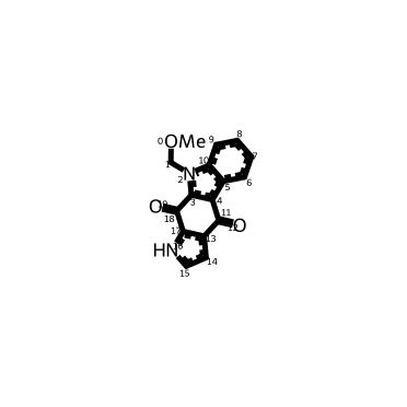 COCn1c2c(c3ccccc31)C(=O)c1cc[nH]c1C2=O